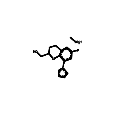 CS(=O)(=O)O.OCC1CCc2cc(F)cc(-n3cccc3)c2O1